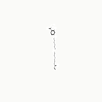 C=CC(=O)CCCCCCOCCCCCCOc1ccc(C(=O)O)c(F)c1